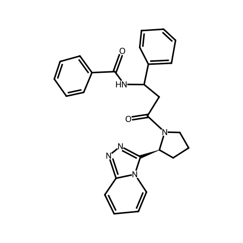 O=C(NC(CC(=O)N1CCC[C@H]1c1nnc2ccccn12)c1ccccc1)c1ccccc1